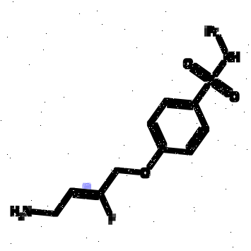 CC(C)NS(=O)(=O)c1ccc(OC/C(F)=C/CN)cc1